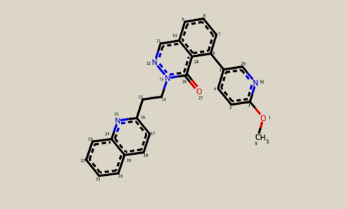 COc1ccc(-c2cccc3cnn(CCc4ccc5ccccc5n4)c(=O)c23)cn1